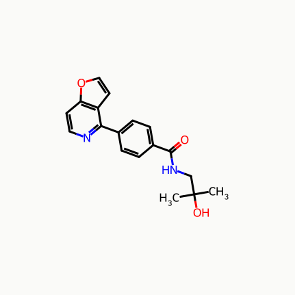 CC(C)(O)CNC(=O)c1ccc(-c2nccc3occc23)cc1